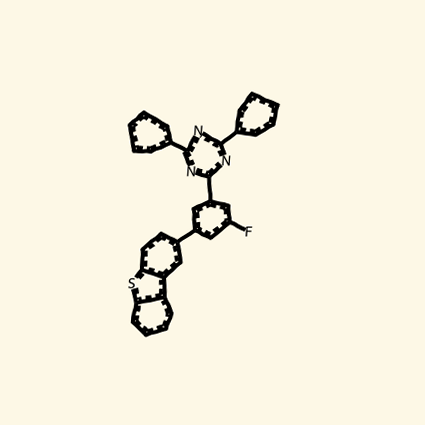 Fc1cc(-c2ccc3sc4ccccc4c3c2)cc(-c2nc(-c3ccccc3)nc(-c3ccccc3)n2)c1